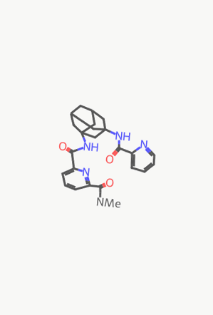 CNC(=O)c1cccc(C(=O)NC23CC4CC(CC(NC(=O)c5ccccn5)(C4)C2)C3)n1